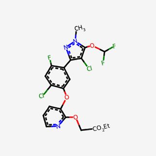 CCOC(=O)COc1ncccc1Oc1cc(-c2nn(C)c(OC(F)F)c2Cl)c(F)cc1Cl